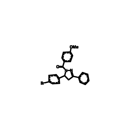 COc1ccc(C(=O)N2N=C(c3ccccc3)CC2c2ccc(Br)cc2)cc1